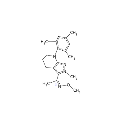 CO/N=C(/C)c1c2c(nn1C)N(c1c(C)cc(C)cc1C)CCC2